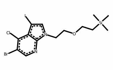 C[Si](C)(C)CCOCCn1cc(I)c2c(Cl)c(Br)cnc21